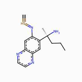 C#[SH]=Nc1cc2nccnc2cc1[C@@](C)(N)CCC